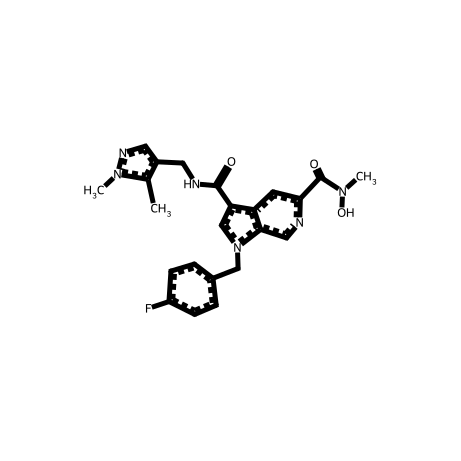 Cc1c(CNC(=O)c2cn(Cc3ccc(F)cc3)c3cnc(C(=O)N(C)O)cc23)cnn1C